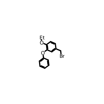 CCOc1ccc(CBr)cc1Oc1ccccc1